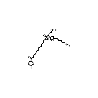 NCCCCCc1cn([C@@H](CCC(=O)O)C(=O)NCCCCCCCCCCC(=O)C2CCNCC2)nn1